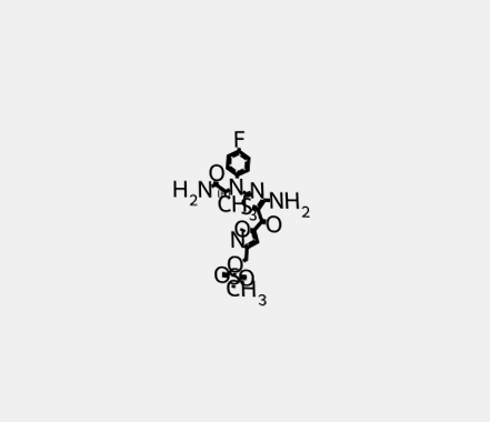 C[C@H](C(N)=O)N(c1ccc(F)cc1)c1nc(N)c(C(=O)c2cc(COS(C)(=O)=O)no2)s1